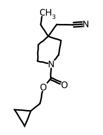 CCC1(CC#N)CCN(C(=O)OCC2CC2)CC1